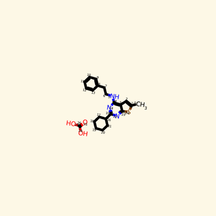 Cc1cc2c(NCCc3ccccc3)nc(C3CCCCC3)nc2s1.O=C(O)O